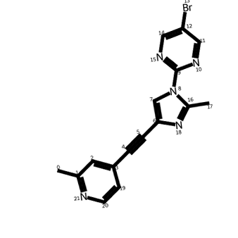 Cc1cc(C#Cc2cn(-c3ncc(Br)cn3)c(C)n2)ccn1